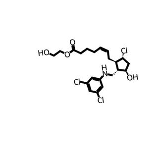 O=C(CCC/C=C\C[C@@H]1[C@@H](CNc2cc(Cl)cc(Cl)c2)[C@H](O)C[C@H]1Cl)OCCO